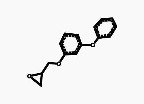 c1ccc(Oc2cccc(OCC3CO3)c2)cc1